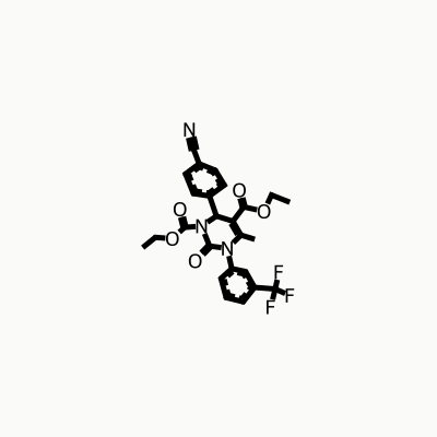 CCOC(=O)C1=C(C)N(c2cccc(C(F)(F)F)c2)C(=O)N(C(=O)OCC)C1c1ccc(C#N)cc1